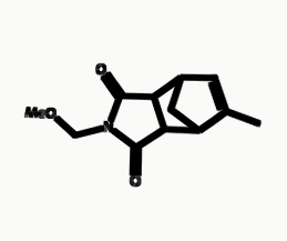 COCN1C(=O)C2C3C=C(C)C(C3)C2C1=O